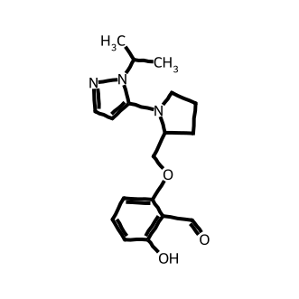 CC(C)n1nccc1N1CCCC1COc1cccc(O)c1C=O